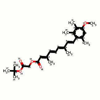 COc1cc(C)c(/C=C/C(C)=C/C=C/C(C)=C/C(=O)OCC(=O)OC(C)(C)C)c(C)c1C